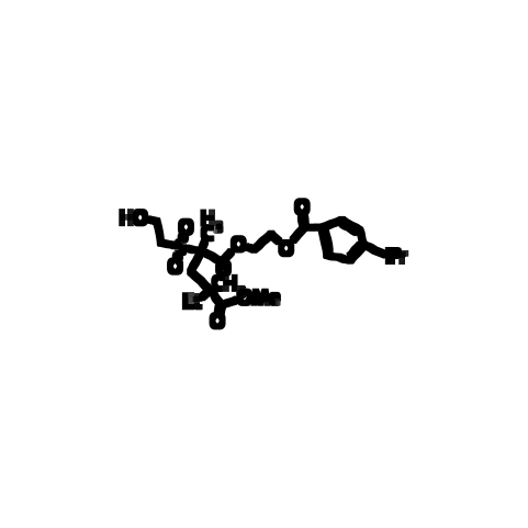 CCC(C)(CC(C)(C(=O)OCCOC(=O)c1ccc(C(C)C)cc1)S(=O)(=O)CCO)C(=O)OC